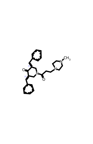 CN1CCN(CCC(=O)N2C/C(=C\c3ccccc3)C(=O)/C(=C/c3ccccc3)C2)CC1